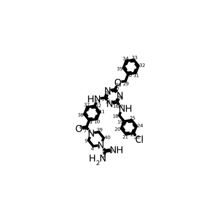 N=C(N)N1CCN(C(=O)c2ccc(Nc3nc(NCc4ccc(Cl)cc4)nc(OCc4ccccc4)n3)cc2)CC1